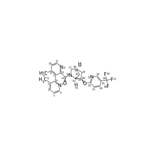 Cc1cccnc1-c1c(C)ccnc1C(=O)N1C[C@H]2C[C@@H](Oc3ccc(C(F)(F)F)cn3)[C@@H]1C2